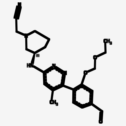 CCOCOc1cc(C=O)ccc1-c1nnc(N[C@@H]2CCCN(CC#N)C2)cc1C